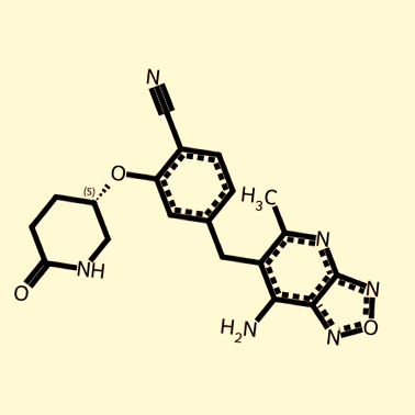 Cc1nc2nonc2c(N)c1Cc1ccc(C#N)c(O[C@H]2CCC(=O)NC2)c1